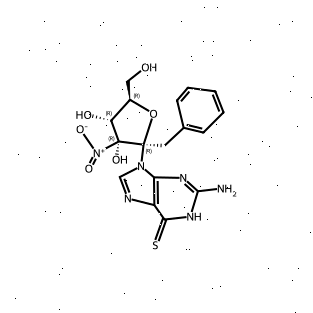 Nc1nc2c(ncn2[C@]2(Cc3ccccc3)O[C@H](CO)[C@@H](O)[C@]2(O)[N+](=O)[O-])c(=S)[nH]1